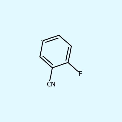 N#Cc1c[c]ccc1F